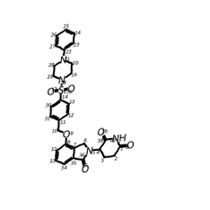 O=C1CCC(N2Cc3c(OCc4ccc(S(=O)(=O)N5CCN(c6ccccc6)CC5)cc4)cccc3C2=O)C(=O)N1